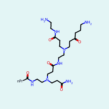 CCCC(=O)NCCN(CCC(N)=O)CCC(=O)NCCN(CCC(=O)CCCN)CCC(=O)NCCN